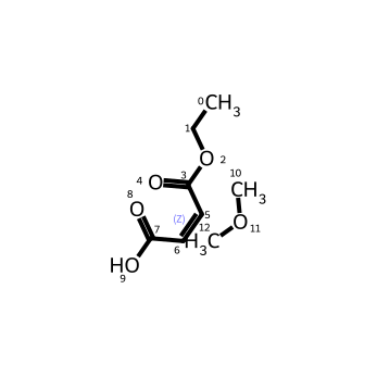 CCOC(=O)/C=C\C(=O)O.COC